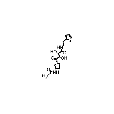 CC(=O)N[C@H]1CCN(C(=O)[C@H](O)[C@@H](O)C(=O)NCCc2cccs2)C1